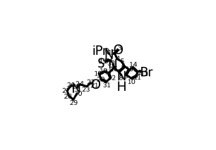 CC(C)N1C(=O)C2Cc3c([nH]c4ccc(Br)cc34)C(c3ccc(OCCCN4CCCCC4)cc3)N2C1=S